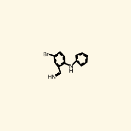 N=Cc1cc(Br)ccc1Nc1ccccc1